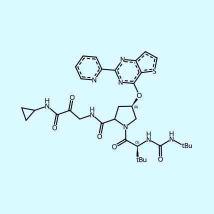 CC(C)(C)NC(=O)N[C@H](C(=O)N1C[C@H](Oc2nc(-c3ccccn3)nc3ccsc23)CC1C(=O)NCC(=O)C(=O)NC1CC1)C(C)(C)C